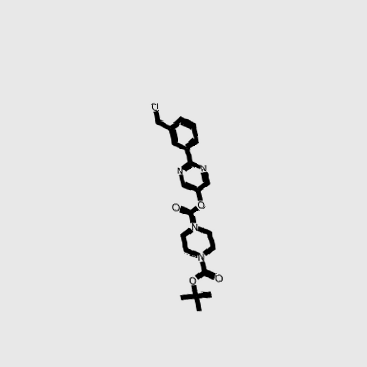 CC(C)(C)OC(=O)N1CCN(C(=O)Oc2cnc(-c3cccc(CCl)c3)nc2)CC1